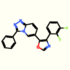 Fc1cccc(-c2ncoc2-c2ccc3nnc(-c4ccccc4)n3c2)c1F